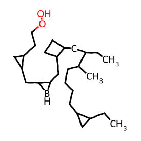 CCC(CC1CCC1CC1BC1CC1CC1CCOO)C(C)CCCCC1CC1CC